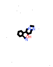 N#Cc1ccccc1-c1cn2ccnc2cc1O